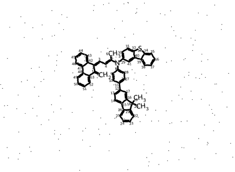 C=c1/c(=C\C=C(/C)N(c2ccc(-c3ccc4c(c3)C(C)(C)c3ccccc3-4)cc2)c2ccc3sc4ccccc4c3c2)c2ccccc2c2ccccc12